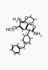 Cl.NC(=O)C(c1cc(Cl)c(N)c2c1OCCO2)C1CCN(Cc2ccccc2)CC1